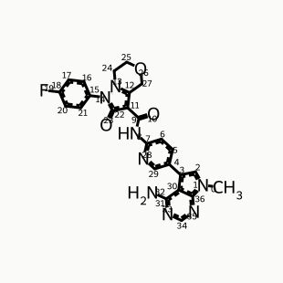 Cn1cc(-c2ccc(NC(=O)c3c4n(n(-c5ccc(F)cc5)c3=O)CCOC4)nc2)c2c(N)ncnc21